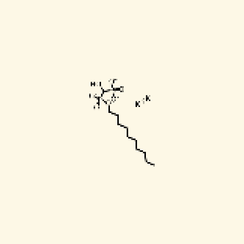 CCCCCCCCCCOP(=O)([O-])C(O)P(=O)([O-])[O-].[K+].[K+].[K+]